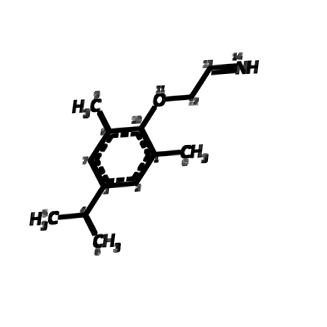 Cc1cc(C(C)C)cc(C)c1OCC=N